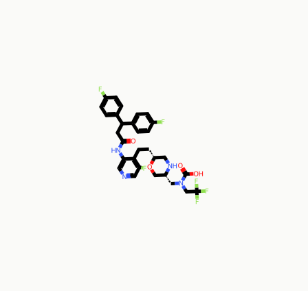 O=C(CC(c1ccc(F)cc1)c1ccc(F)cc1)Nc1cncc(F)c1CC[C@@H]1CN[C@H](CN(CC(F)(F)F)C(=O)O)CO1